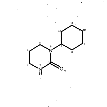 O=C1NCCCN1C1CCCCC1